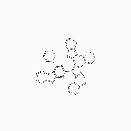 c1ccc(-c2nc(-n3c4c5ccccc5ccc4c4c5ccccc5c5c6ccccc6sc5c43)nc3sc4ccccc4c23)cc1